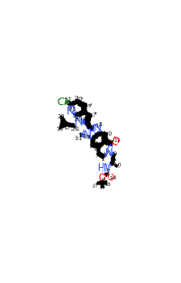 C[C@H](CN1CCc2cc3c(cc2C1=O)nc(-c1cc2ccc(Cl)nc2n1CC1CC1)n3C)NC(=O)OC(C)(C)C